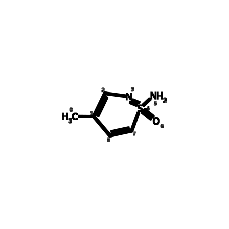 CC1=CN=S(N)(=O)C=C1